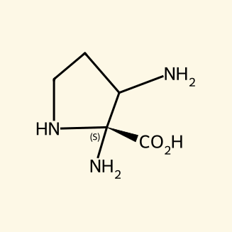 NC1CCN[C@]1(N)C(=O)O